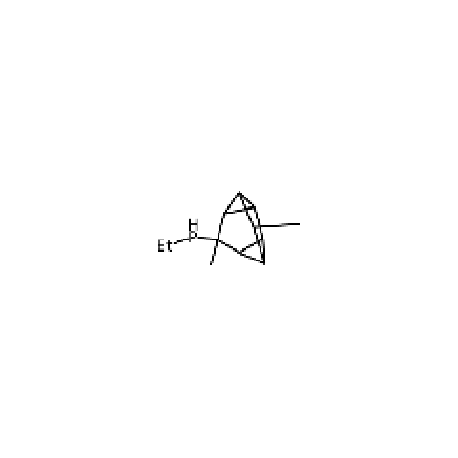 CCPC1(C)C2C3C(C)C4C(C32)C41